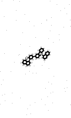 c1ccc2c(-n3c4ccccc4c4cc(-c5ccc6c(c5)-c5cccc7cccc(c57)O6)ccc43)cccc2c1